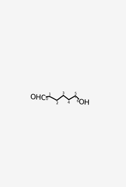 O=CCCCC[CH]O